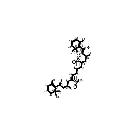 CC1=C(C(=O)CC(C)CC(CCCCC(CC(C)CC(=O)C2=C(C)C=CCC2(C)C)[SH](=O)=O)[SH](=O)=O)C(C)(C)CC=C1